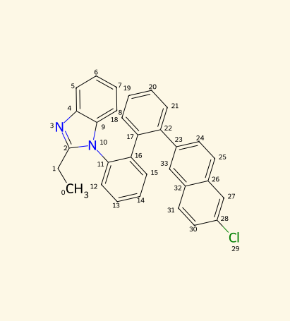 CCc1nc2ccccc2n1-c1ccccc1-c1ccccc1-c1ccc2cc(Cl)ccc2c1